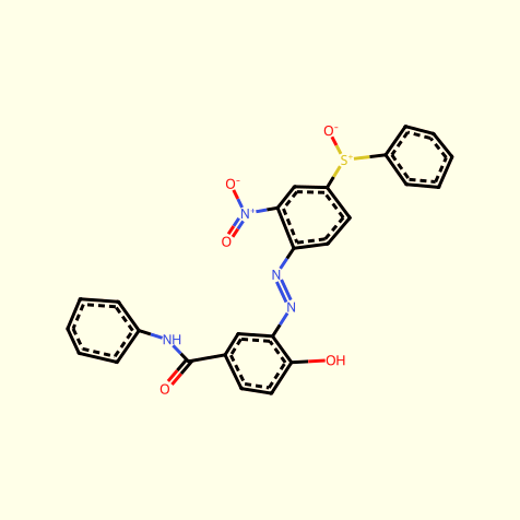 O=C(Nc1ccccc1)c1ccc(O)c(N=Nc2ccc([S+]([O-])c3ccccc3)cc2[N+](=O)[O-])c1